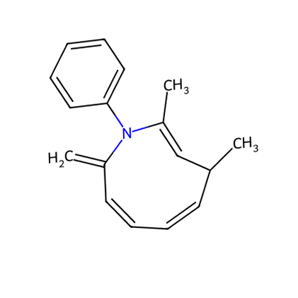 C=C1/C=C\C=C/C(C)/C=C(\C)N1c1ccccc1